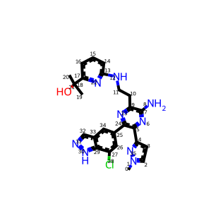 Cn1ccc(-c2nc(N)c(CCNc3cccc(C(C)(C)O)n3)nc2-c2cc(Cl)c3[nH]ncc3c2)n1